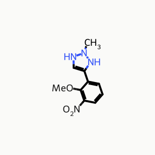 COc1c(C2=CNN(C)N2)cccc1[N+](=O)[O-]